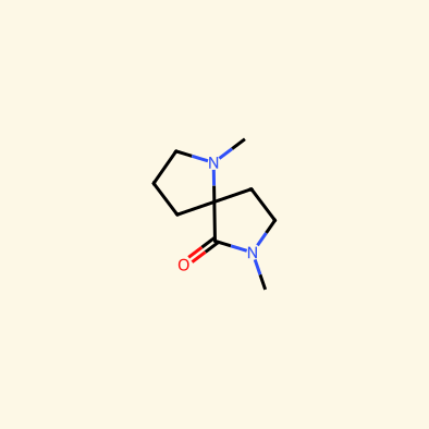 CN1CCC2(CCCN2C)C1=O